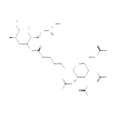 COC[C@H](C)CC(NC(=O)CCCCO[C@@H]1O[C@H](COC(C)=O)[C@H](OC(C)=O)[C@H](OC(C)=O)[C@H]1NC(C)=O)[C@H](CO[PH](=O)OC)OC